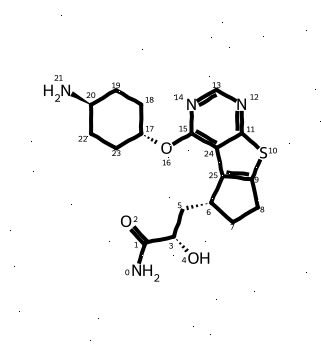 NC(=O)[C@@H](O)C[C@H]1CCc2sc3ncnc(O[C@H]4CC[C@H](N)CC4)c3c21